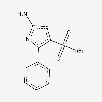 CCCCS(=O)(=O)c1sc(N)nc1-c1ccccc1